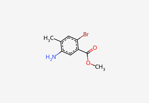 COC(=O)c1cc(N)c(C)cc1Br